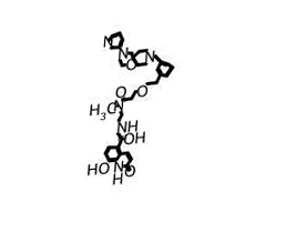 CN(CCNC[C@H](O)c1ccc(O)c2[nH]c(=O)ccc12)C(=O)CCOCCc1cccc(CN2CCC3(CC2)CN(c2cccnc2)CCO3)c1